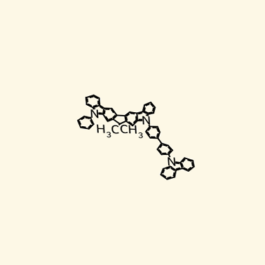 CC1(C)c2cc3c(cc2-c2cc4c5ccccc5n(-c5ccc(-c6ccc(-n7c8ccccc8c8ccccc87)cc6)cc5)c4cc21)c1ccccc1n3-c1ccccc1